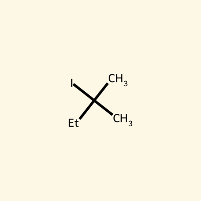 [CH2]CC(C)(C)I